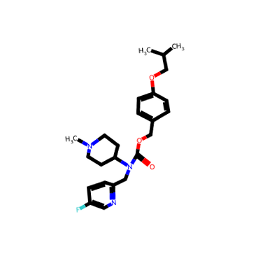 CC(C)COc1ccc(COC(=O)N(Cc2ccc(F)cn2)C2CCN(C)CC2)cc1